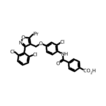 CC(C)c1onc(-c2c(Cl)cccc2Cl)c1COc1ccc(NC(=O)c2ccc(C(=O)O)cc2)c(Cl)c1